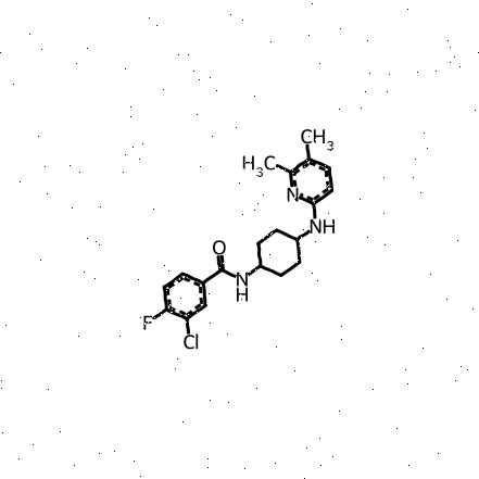 Cc1ccc(NC2CCC(NC(=O)c3ccc(F)c(Cl)c3)CC2)nc1C